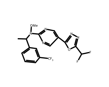 CON(c1ncc(-c2nnc(C(F)F)o2)cn1)C(C)c1cccc(C(F)(F)F)c1